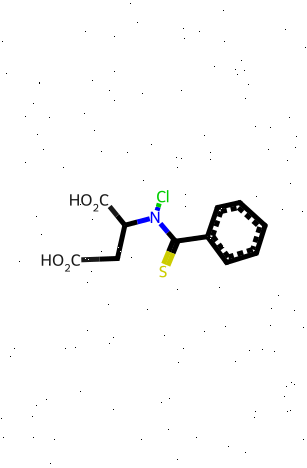 O=C(O)CC(C(=O)O)N(Cl)C(=S)c1ccccc1